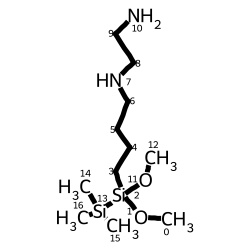 CO[Si](CCCCNCCN)(OC)[Si](C)(C)C